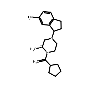 C=C(C1CCCC1)N1CCN(C2CCc3ccc(N)cc32)C[C@@H]1C